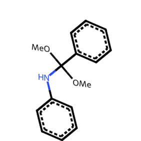 COC(Nc1ccccc1)(OC)c1ccccc1